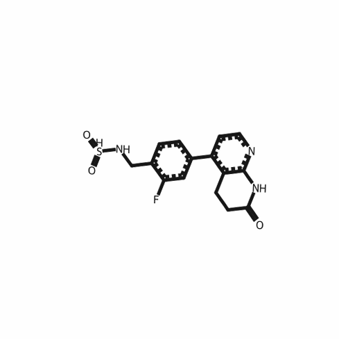 O=C1CCc2c(-c3ccc(CN[SH](=O)=O)c(F)c3)ccnc2N1